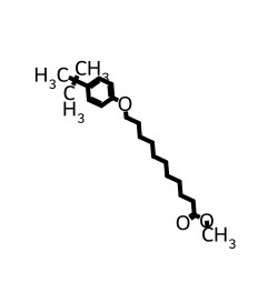 COC(=O)CCCCCCCCCCOc1ccc(C(C)(C)C)cc1